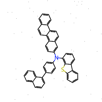 c1ccc2c(-c3ccc(N(c4ccc5c(ccc6c7ccccc7ccc56)c4)c4cccc5c4sc4ccccc45)cc3)cccc2c1